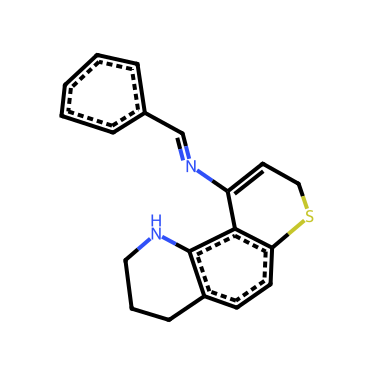 C(=NC1=CCSc2ccc3c(c21)NCCC3)c1ccccc1